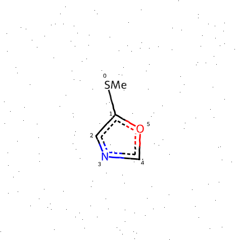 CSc1cn[c]o1